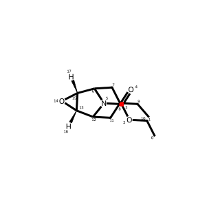 CCOC(=O)N1C2CC(CC)CC1[C@@H]1O[C@H]21